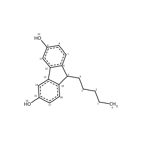 CCCCCC1c2ccc(O)cc2-c2cc(O)ccc21